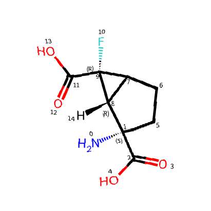 N[C@@]1(C(=O)O)CCC2[C@H]1[C@@]2(F)C(=O)O